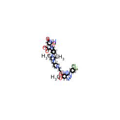 COc1cc2ncnc(Nc3ccc(F)c(Cl)c3)c2cc1OCCCN1CCC(CN2CC(C)N(c3ccc4c(c3)C(C(=O)C=O)N(C3CCC(=O)NC3=O)C4)C(C)C2)CC1